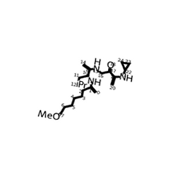 C=C(CCCCCCOC)NC(CC(C)C)C(=C)NCC(=O)C(=C)NC1CC1